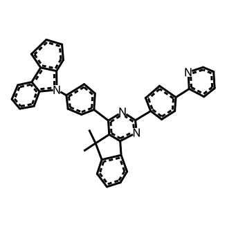 CC1(C)c2ccccc2-c2nc(-c3ccc(-c4ccccn4)cc3)nc(-c3ccc(-n4c5ccccc5c5ccccc54)cc3)c21